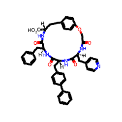 O=C1COc2ccc(cc2)C[C@@H](C(=O)O)NC(=O)[C@H](Cc2ccccc2)NC(=O)[C@@H](Cc2ccc(-c3ccccc3)cc2)NC(=O)[C@H](Cc2ccncc2)N1